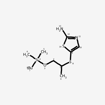 CC(CO[Si](C)(C)C(C)(C)C)Sc1cnc(N)s1